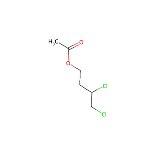 CC(=O)OCCC(Cl)CCl